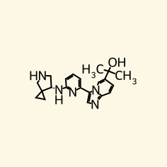 CC(C)(O)c1ccc2ncc(-c3cccc(N[C@H]4CNCC45CC5)n3)n2c1